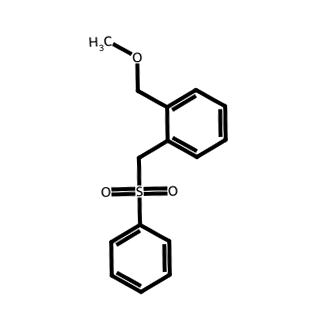 COCc1ccccc1CS(=O)(=O)c1ccccc1